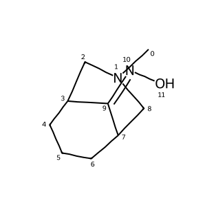 CN1CC2CCCC(C1)C2=NO